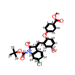 COC(=O)c1ccc(Oc2ccc(Br)cc2/C=C2/C(=O)N(C(=O)OC(C)(C)C)c3cc(Cl)ccc32)cc1